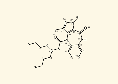 CCCCN(CCCC)CC(=O)N1c2ccccc2NC(=O)c2c1c(C)nn2C